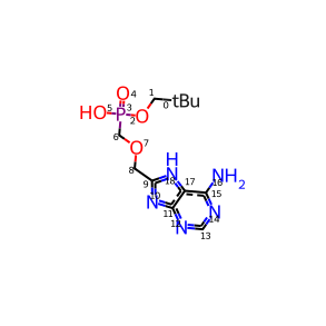 CC(C)(C)COP(=O)(O)COCc1nc2ncnc(N)c2[nH]1